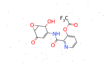 O=C(NC1=CC(=O)C2OC2C1O)c1ncccc1OC(=O)C(F)(F)F